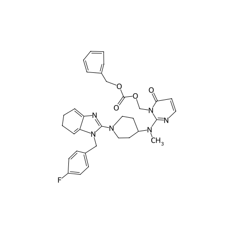 CN(c1nccc(=O)n1COC(=O)OCc1ccccc1)C1CCN(c2nc3c(n2Cc2ccc(F)cc2)=CCCC=3)CC1